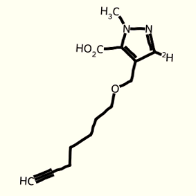 [2H]c1nn(C)c(C(=O)O)c1COCCCCCC#C